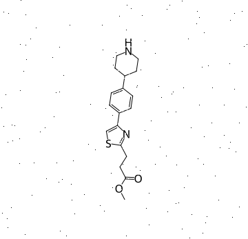 COC(=O)CCc1nc(-c2ccc(C3CCNCC3)cc2)cs1